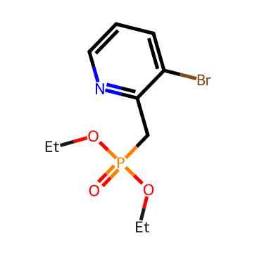 CCOP(=O)(Cc1ncccc1Br)OCC